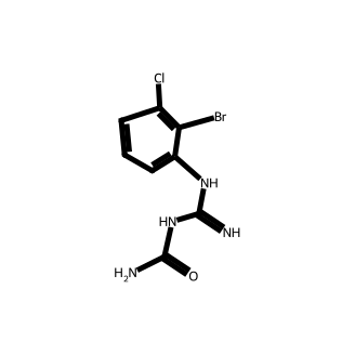 N=C(NC(N)=O)Nc1cccc(Cl)c1Br